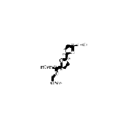 CCCCCCCCCC[C@H](OCOC)[C@@H]1CC[C@@H]([C@@H]2CC[C@@H](C=O)O2)O1